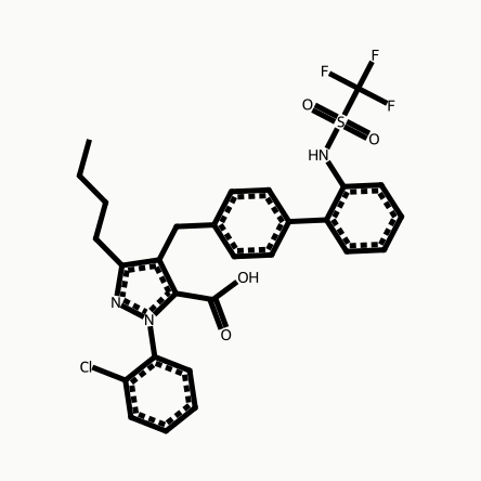 CCCCc1nn(-c2ccccc2Cl)c(C(=O)O)c1Cc1ccc(-c2ccccc2NS(=O)(=O)C(F)(F)F)cc1